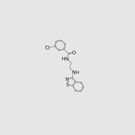 O=C(NCCNc1nsc2ccccc12)c1cccc(Cl)c1